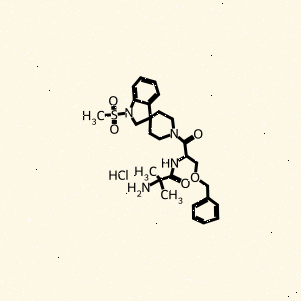 CC(C)(N)C(=O)NC(COCc1ccccc1)C(=O)N1CCC2(CC1)CN(S(C)(=O)=O)c1ccccc12.Cl